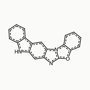 c1ccc2c(c1)[nH]c1cc3nc4oc5ccccc5n4c3cc12